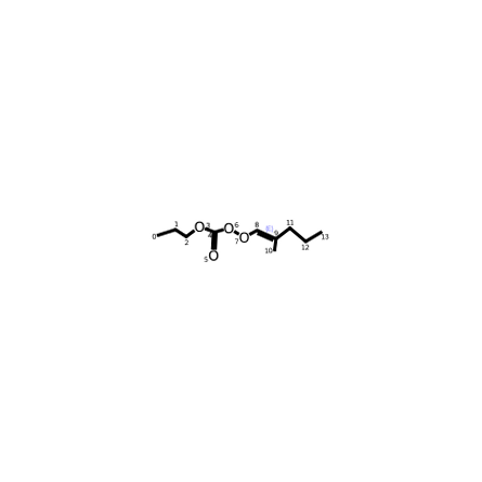 CCCOC(=O)OO/C=C(\C)CCC